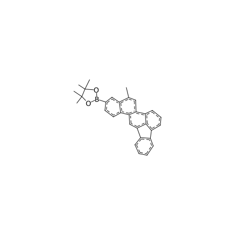 Cc1cc2c3cccc4c3c(cc2c2ccc(B3OC(C)(C)C(C)(C)O3)cc12)-c1ccccc1-4